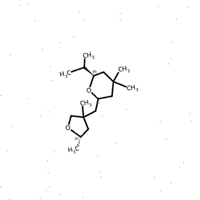 CC(C)[C@H]1CC(C)(C)CC(CC2(C)CO[C@@H](C)C2)O1